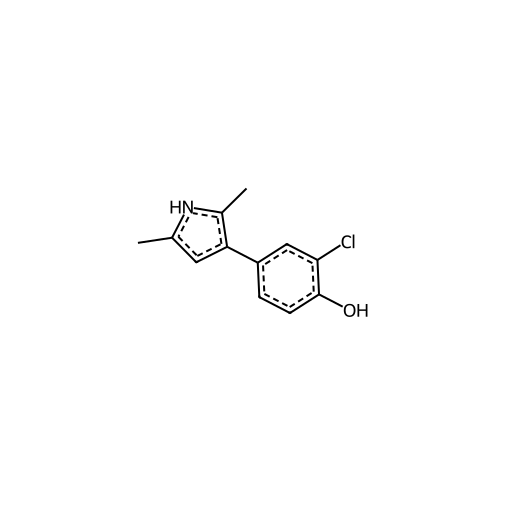 Cc1cc(-c2ccc(O)c(Cl)c2)c(C)[nH]1